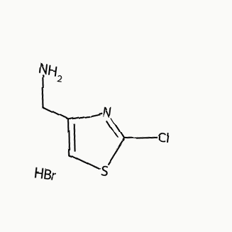 Br.NCc1csc(Cl)n1